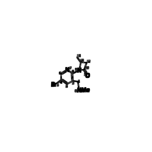 CNCc1cc(Br)cnc1N1C(=O)CC1C